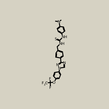 CN(C)c1ccc(NC(=S)NCc2ccc(-c3ncn(-c4ccc(OC(F)(F)C(F)(F)F)cc4)n3)cc2)cc1